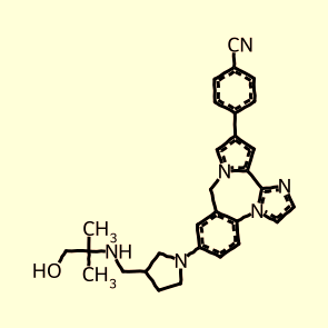 CC(C)(CO)NCC1CCN(c2ccc3c(c2)Cn2cc(-c4ccc(C#N)cc4)cc2-c2nccn2-3)C1